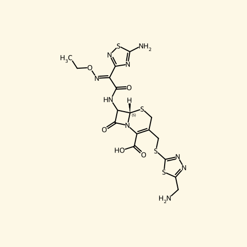 CCON=C(C(=O)NC1C(=O)N2C(C(=O)O)=C(CSc3nnc(CN)s3)CS[C@@H]12)c1nsc(N)n1